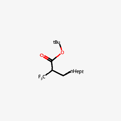 CCCCCCCCC(C(=O)OC(C)(C)C)C(F)(F)F